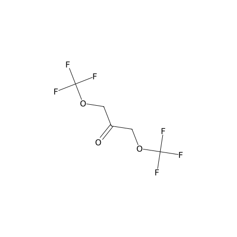 O=C(COC(F)(F)F)COC(F)(F)F